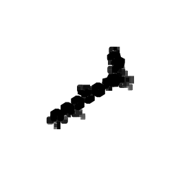 COC[C@H]1CN(C2CCC(n3cc4cc(NC(=O)c5ccc6cc(C#N)cnn56)c(C(C)(C)O)cc4n3)CC2)CCN1C1CCN(c2ccc(C3CCC(=O)NC3=O)nc2C)CC1